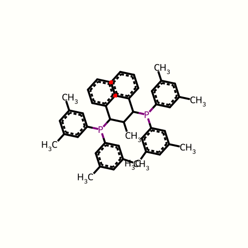 Cc1cc(C)cc(P(c2cc(C)cc(C)c2)C(c2ccccc2)C(C)C(c2ccccc2)P(c2cc(C)cc(C)c2)c2cc(C)cc(C)c2)c1